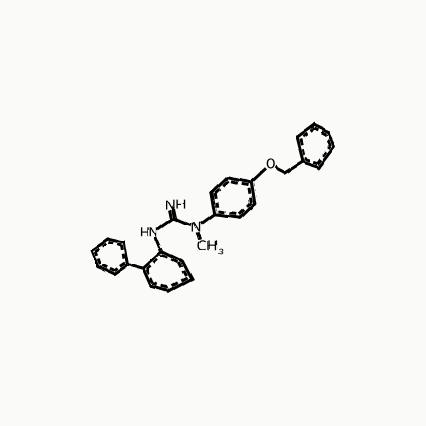 CN(C(=N)Nc1ccccc1-c1ccccc1)c1ccc(OCc2ccccc2)cc1